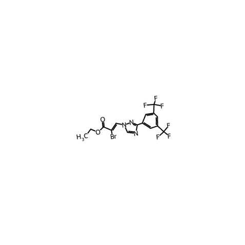 CCOC(=O)/C(Br)=C/n1cnc(-c2cc(C(F)(F)F)cc(C(F)(F)F)c2)n1